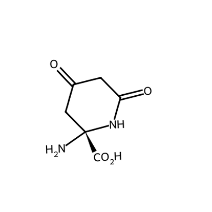 N[C@]1(C(=O)O)CC(=O)CC(=O)N1